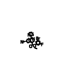 CCOC(=O)C1=C2C[C@@H](C#N)CN2C(c2nccs2)=N[C@@H]1c1ccc(F)cc1Br